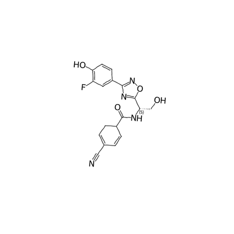 N#CC1=CCC(C(=O)N[C@@H](CO)c2nc(-c3ccc(O)c(F)c3)no2)C=C1